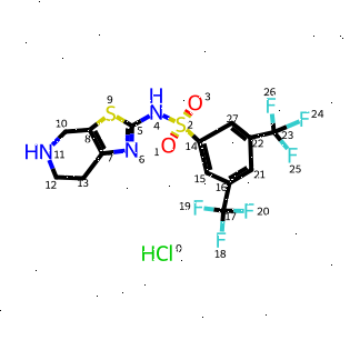 Cl.O=S(=O)(Nc1nc2c(s1)CNCC2)c1cc(C(F)(F)F)cc(C(F)(F)F)c1